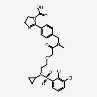 CN(Cc1ccc(C2=NCCN2C(=O)O)cc1)C(=O)COCCN(C1CC1)S(=O)(=O)c1cccc(Cl)c1Cl